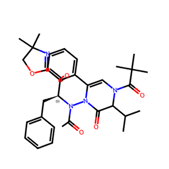 CC(=O)N([C@@H](Cc1ccccc1)C(=O)C1=NC(C)(C)CO1)N1C(=O)C(C(C)C)N(C(=O)C(C)(C)C)C=C1c1ccccc1